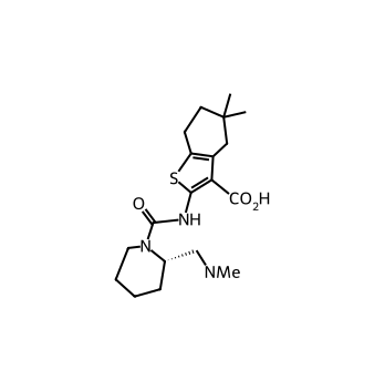 CNC[C@@H]1CCCCN1C(=O)Nc1sc2c(c1C(=O)O)CC(C)(C)CC2